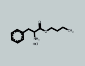 CCCCOC(=O)C(N)Cc1ccccc1.Cl